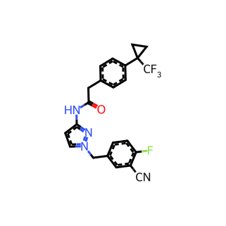 N#Cc1cc(Cn2ccc(NC(=O)Cc3ccc(C4(C(F)(F)F)CC4)cc3)n2)ccc1F